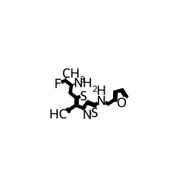 C#Cc1c(C[C@@H](N)[C@@H](C)F)sc2c(NCc3ccco3)snc12